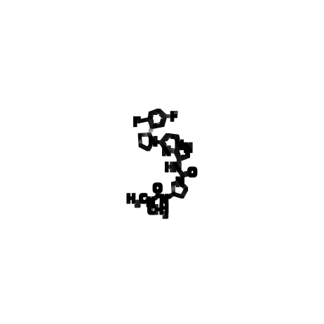 CN(C)C(=O)N[C@@H]1CCN(C(=O)Nc2cnn3ccc(N4CCC[C@@H]4c4cc(F)ccc4F)nc23)C1